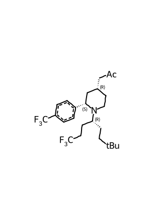 CC(=O)C[C@@H]1CCN([C@H](CCC(C)(C)C)CCC(F)(F)F)[C@H](c2ccc(C(F)(F)F)cc2)C1